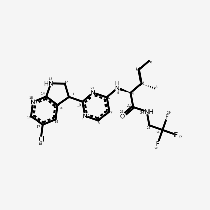 CC[C@H](C)[C@H](Nc1ccnc(C2CNc3ncc(Cl)cc32)n1)C(=O)NCC(F)(F)F